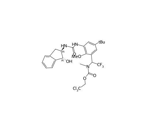 COc1c(NC(=O)N[C@@H]2Cc3ccccc3[C@H]2O)cc(C(C)(C)C)cc1C(N(C)C(=O)OCC(Cl)(Cl)Cl)C(F)(F)F